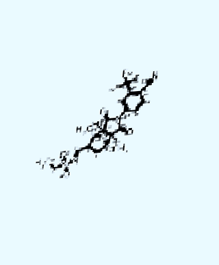 CCS(=O)(=O)/N=C/C1C[C@@]2(C)O[C@]1(C)[C@@H]1C(=O)N(c3ccc(C#N)c(C(F)(F)F)c3)C(=O)[C@@H]12